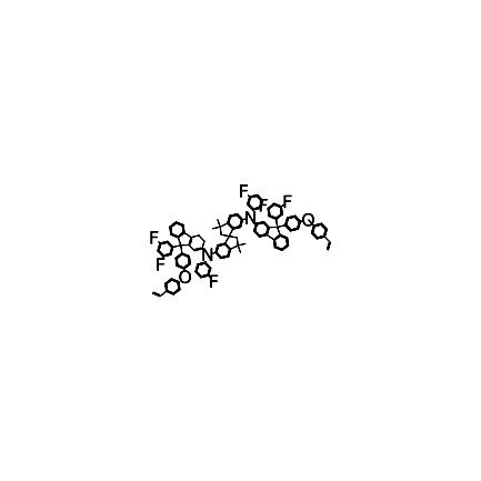 C=Cc1ccc(Oc2ccc(C3(c4cc(F)cc(F)c4)C4=C(CCC(N(c5cccc(F)c5)c5ccc6c(c5)C5(CC6(C)C)CC(C)(C)c6ccc(N(c7cccc(F)c7)c7ccc8c(c7)C(c7ccc(Oc9ccc(C=C)cc9)cc7)(c7cc(F)cc(F)c7)c7ccccc7-8)cc65)=C4)c4ccccc43)cc2)cc1